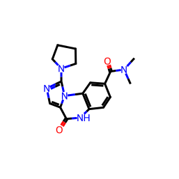 CN(C)C(=O)c1ccc2[nH]c(=O)c3cnc(N4CCCC4)n3c2c1